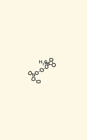 Cn1c2cc(-c3ccc(-c4ccc(N(c5ccccc5)c5cccc(-c6ccccc6)c5)cc4)cc3)ccc2c2c3ccccc3c3ccccc3c21